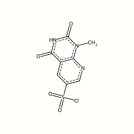 Cn1c(=O)[nH]c(=O)c2cc(S(=O)(=O)Cl)cnc21